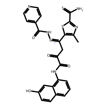 Cc1nc(C(N)=S)sc1/C(CC(=O)C(=O)Nc1cccc2ccc(O)cc12)=N\NC(=O)c1ccncc1